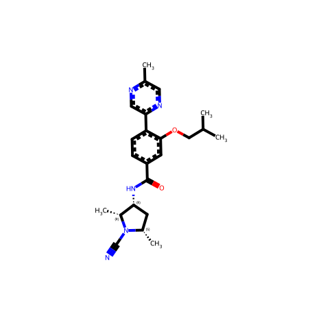 Cc1cnc(-c2ccc(C(=O)N[C@@H]3C[C@H](C)N(C#N)[C@@H]3C)cc2OCC(C)C)cn1